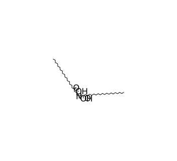 CCCCCCCCCCCCCCCCCC(=O)CC(O)CN(C)CC(O)CC(=O)CCCCCCCCCCCCCCCCC